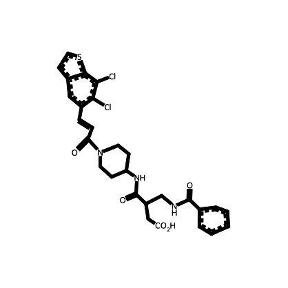 O=C(O)CC(CNC(=O)c1ccccc1)C(=O)NC1CCN(C(=O)/C=C/c2cc3ccsc3c(Cl)c2Cl)CC1